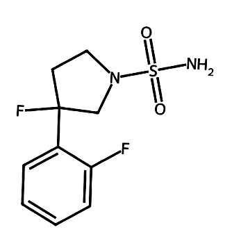 NS(=O)(=O)N1CCC(F)(c2ccccc2F)C1